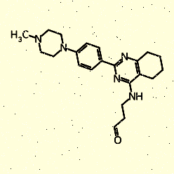 CN1CCN(c2ccc(-c3nc4c(c(NCCC=O)n3)CCCC4)cc2)CC1